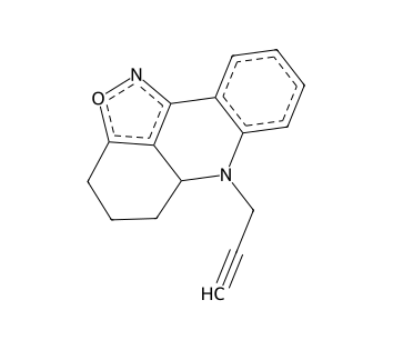 C#CCN1c2ccccc2-c2noc3c2C1CCC3